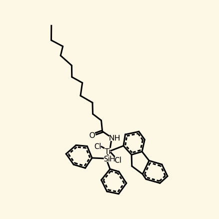 CCCCCCCCCCCC(=O)[NH][Ti]([Cl])([Cl])([c]1cccc2c1Cc1ccccc1-2)[SiH](c1ccccc1)c1ccccc1